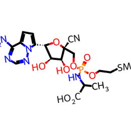 CSCCOP(=O)(NC(C)C(=O)O)OC[C@@]1(C#N)O[C@@H](c2ccc3c(N)ncnn23)[C@H](O)[C@@H]1O